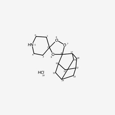 C1CC2(CCN1)OOC1(O2)C2CC3CC(C2)CC1C3.Cl